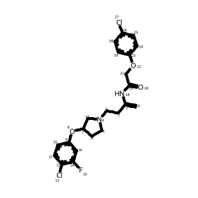 C=C(CCN1CCC(Oc2ccc(Cl)c(F)c2)C1)NC(=O)COc1ccc(Cl)cc1